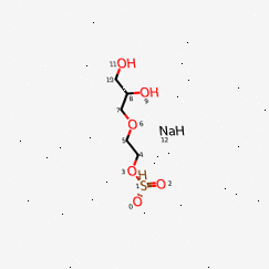 O=[SH](=O)OCCOCC(O)CO.[NaH]